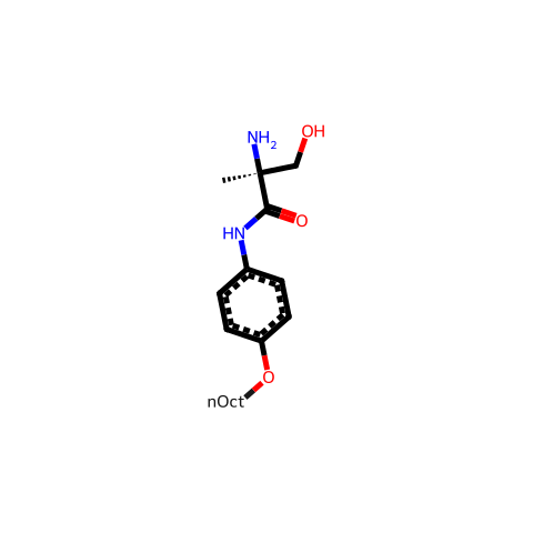 CCCCCCCCOc1ccc(NC(=O)[C@@](C)(N)CO)cc1